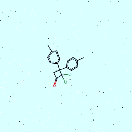 Cc1ccc(C2(c3ccc(C)cc3)CC(=O)C2(Cl)Cl)cc1